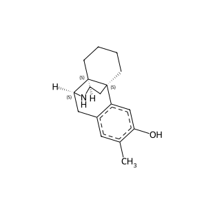 Cc1cc2c(cc1O)[C@]13CCCC[C@@H]1[C@H](C2)NCC3